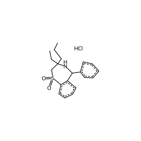 CCCC1(CC)CS(=O)(=O)c2ccccc2C(c2ccccc2)N1.Cl